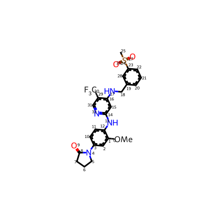 COc1cc(N2CCCC2=O)ccc1Nc1cc(NCc2cccc(S(C)(=O)=O)c2)c(C(F)(F)F)cn1